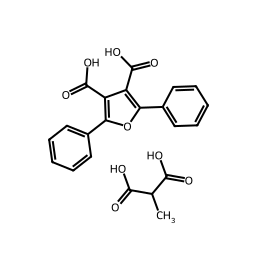 CC(C(=O)O)C(=O)O.O=C(O)c1c(-c2ccccc2)oc(-c2ccccc2)c1C(=O)O